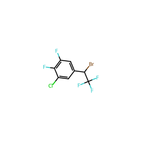 Fc1cc(C(Br)C(F)(F)F)cc(Cl)c1F